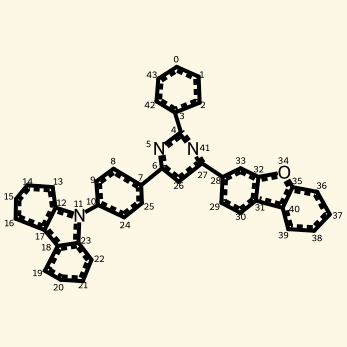 c1ccc(-c2nc(-c3ccc(-n4c5ccccc5c5ccccc54)cc3)cc(-c3ccc4c(c3)oc3ccccc34)n2)cc1